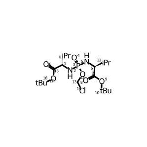 CC(C)[C@H](NP(=O)(N[C@H](C(=O)OC(C)(C)C)C(C)C)OCCl)C(=O)OC(C)(C)C